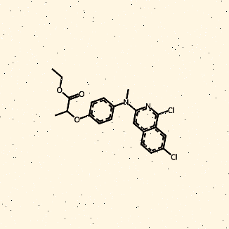 CCOC(=O)C(C)Oc1ccc(N(C)c2cc3ccc(Cl)cc3c(Cl)n2)cc1